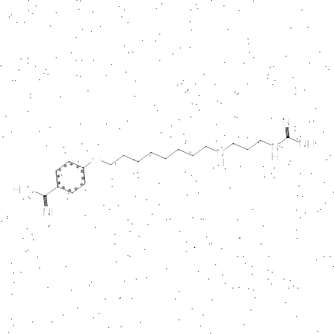 N=C(N)NCCCNCCCCCCCCOc1ccc(C(=N)N)cc1